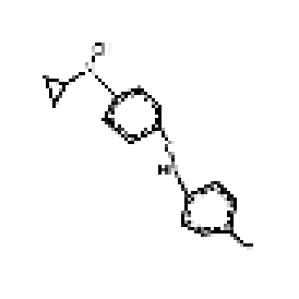 CN(c1ccc(CNc2ccc(F)cc2)cc1)C1CC1